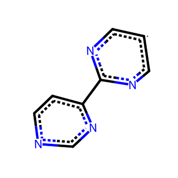 [c]1cnc(-c2ccncn2)nc1